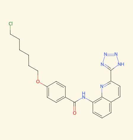 O=C(Nc1cccc2ccc(-c3nnn[nH]3)nc12)c1ccc(OCCCCCCCl)cc1